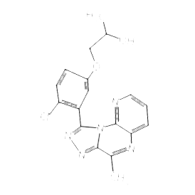 Cc1nc2cccnc2n2c(-c3cc(OCC(C)O)ccc3Cl)nnc12